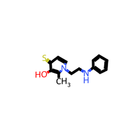 Cc1c(O)c(=S)ccn1CCNc1ccccc1